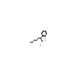 CCCCCCC(C(=O)OC)c1ccc(F)cc1F